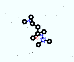 c1ccc(-c2nc(-c3ccccc3)nc(-n3c4ccccc4c4c(-c5cccc(-c6ccc7c(c6)c6ccccc6n7-c6ccccc6)c5)cc5c6ccccc6oc5c43)n2)cc1